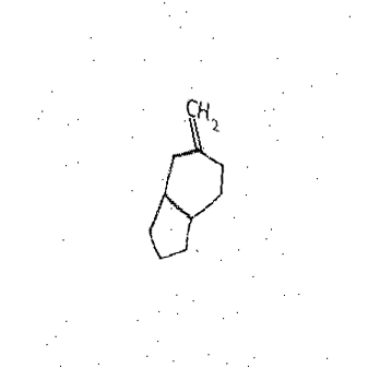 C=C1CCC2CCCC2C1